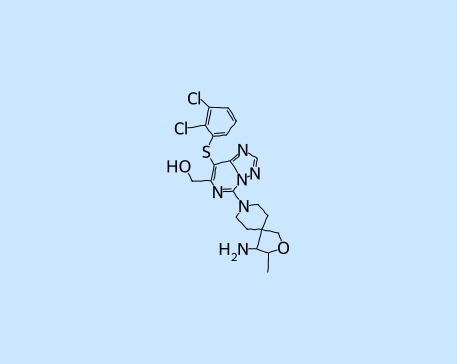 CC1OCC2(CCN(c3nc(CO)c(Sc4cccc(Cl)c4Cl)c4ncnn34)CC2)C1N